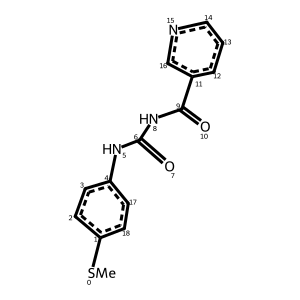 CSc1ccc(NC(=O)NC(=O)c2cccnc2)cc1